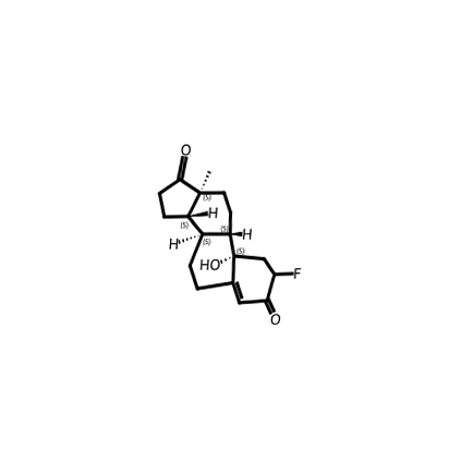 C[C@]12CC[C@H]3[C@@H](CCC4=CC(=O)C(F)C[C@@]43O)[C@@H]1CCC2=O